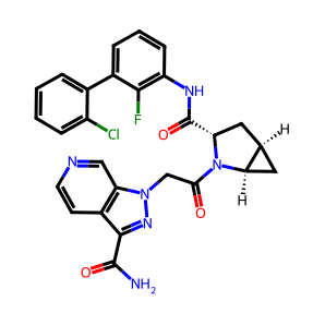 NC(=O)c1nn(CC(=O)N2[C@@H]3C[C@@H]3C[C@H]2C(=O)Nc2cccc(-c3ccccc3Cl)c2F)c2cnccc12